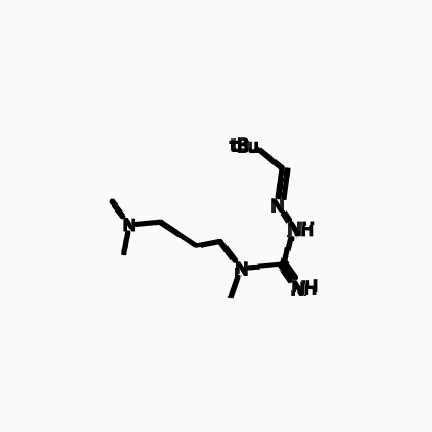 CN(C)CCCN(C)C(=N)N/N=C/C(C)(C)C